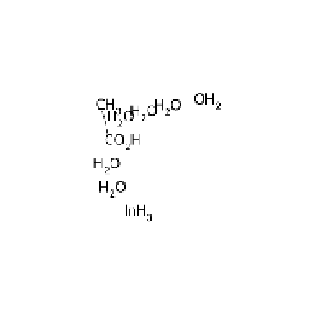 CC(=O)O.O.O.O.O.O.O.[InH3]